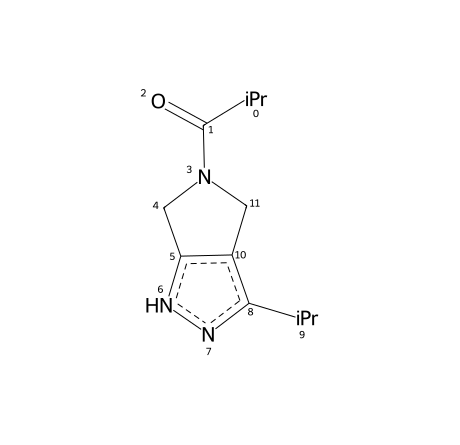 CC(C)C(=O)N1Cc2[nH]nc(C(C)C)c2C1